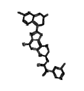 Cc1cncc(N(C)C(=O)O[C@@H]2COc3c(cc(Cl)c4nc(-c5cc(C)cc6nc(C)cnc56)sc34)O2)c1